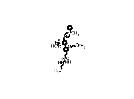 CCCCNC(=N)NC(=O)CCc1ccc(-c2ccc(CN3CCN(C(C)c4ccccc4)CC3)cc2)c(OCCCOC)c1.O=C(O)C(F)(F)F